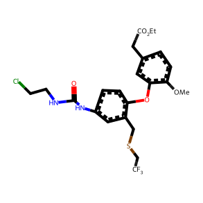 CCOC(=O)Cc1ccc(OC)c(Oc2ccc(NC(=O)NCCCl)cc2CSCC(F)(F)F)c1